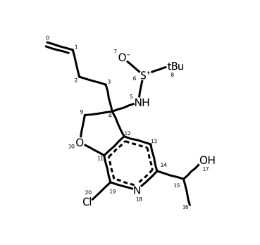 C=CCCC1(N[S+]([O-])C(C)(C)C)COc2c1cc(C(C)O)nc2Cl